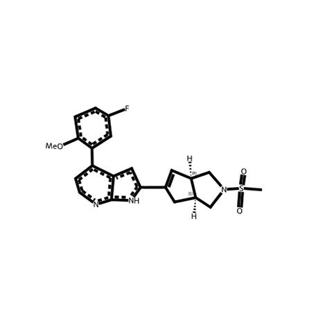 COc1ccc(F)cc1-c1ccnc2[nH]c(C3=C[C@H]4CN(S(C)(=O)=O)C[C@H]4C3)cc12